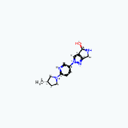 C[C@H]1CCN(c2ccc(-n3cc4c(n3)CNC4O)cn2)C1